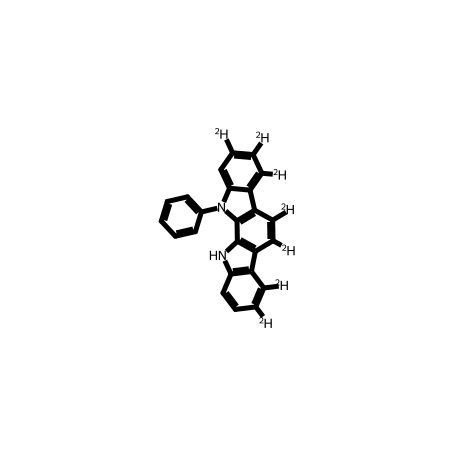 [2H]c1cc2c(c([2H])c1[2H])c1c([2H])c([2H])c3c([nH]c4ccc([2H])c([2H])c43)c1n2-c1ccccc1